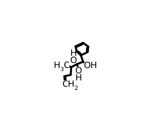 C=CCC(C)C(O)(O)C(O)c1ccccc1